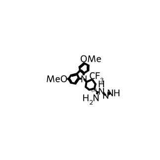 COc1ccc2c(c1)c1cc(OC)ccc1n2C1CC[C@H](C(N)NN=N)CC1C(F)(F)F